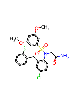 COc1cc(OC)cc(S(=O)(=O)N(CC(N)=O)c2ccc(Cl)cc2Cc2ccccc2Cl)c1